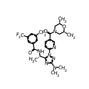 C[C@@H]1CN(C(=O)c2ccc(-n3nc(N(C)C)nc3[C@H](C)NC(=O)c3cc(C(F)(F)F)cc(C(F)(F)F)c3)nc2)C[C@H](C)O1